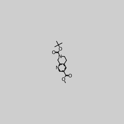 COC(=O)c1cnc2c(c1)CCN(C(=O)OC(C)(C)C)C2